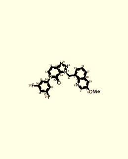 COc1cnc2c(Cn3nnc4ccn(-c5cc(F)cc(F)c5)c(=O)c43)cccc2c1